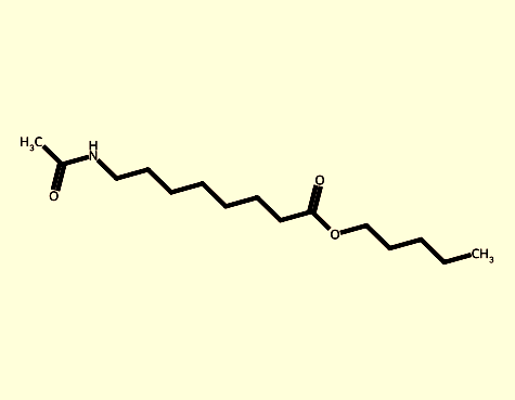 CCCCCOC(=O)CCCCCCCNC(C)=O